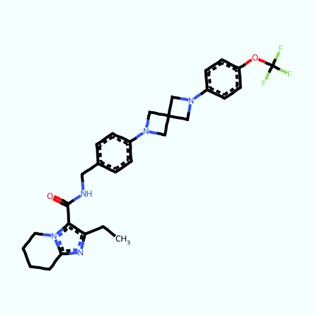 CCc1nc2n(c1C(=O)NCc1ccc(N3CC4(C3)CN(c3ccc(OC(F)(F)F)cc3)C4)cc1)CCCC2